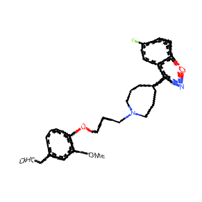 COc1cc(CC=O)ccc1OCCCN1CCC(c2noc3ccc(F)cc23)CC1